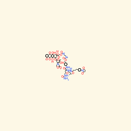 COc1cccc2c1C(=O)c1c(O)c3c(c(O)c1C2=O)C[C@@](O)(C(=O)COC(=O)N(C)CCN(C)C(=O)OCc1ccc(NC(=O)[C@H](CCCNC(N)=O)NC(=O)C(NC(=O)CCCc2ccc(N4C(=O)CCC4=O)cc2)C(C)C)cc1)C[C@@H]3O[C@H]1C[C@H](N2CCO[C@H](OC)C2)[C@H](O)[C@H](C)O1